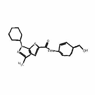 Cc1nn(C2CCCCC2)c2sc(C(=O)NC3=CCC(CO)C=C3)cc12